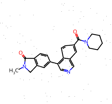 CN1Cc2cc(-c3cncc4cc(C(=O)N5CCCCC5)ccc34)ccc2C1=O